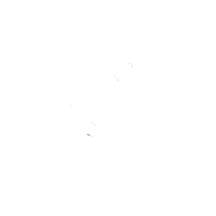 Cc1c2sc(C3=C(C(=O)O)N4C(=O)[C@H]([C@@H](C)O)[C@@H]4[C@H]3C)c[n+]2c(C)n1C.[I-]